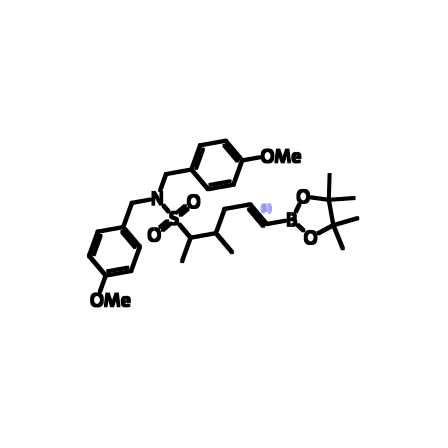 COc1ccc(CN(Cc2ccc(OC)cc2)S(=O)(=O)C(C)C(C)C/C=C/B2OC(C)(C)C(C)(C)O2)cc1